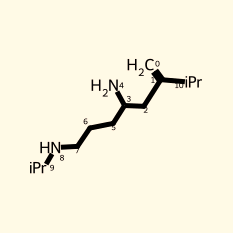 C=C(CC(N)CCCNC(C)C)C(C)C